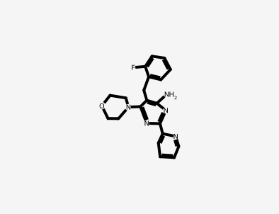 Nc1nc(-c2ccccn2)nc(N2CCOCC2)c1Cc1ccccc1F